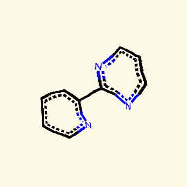 c1ccc(-c2ncccn2)nc1